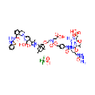 Cc1c(-c2ccc(N3CCc4cccc(C(=O)Nc5nc6ccccc6s5)c4C3)nc2C(=O)O)cnn1CC12CC3(C)CC(C)(C1)CC(OCCN(CCC(=O)O)C(=O)OCc1ccc(NC(=O)[C@H](CCCNC(N)=O)NC(=O)[C@@H](NC(=O)[C@@H](N)CS(=O)(=O)O)C(C)C)cc1)(C3)C2.O=C(O)C(F)(F)F